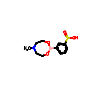 CN1CCOB(c2cccc(S(=O)O)c2)OCC1